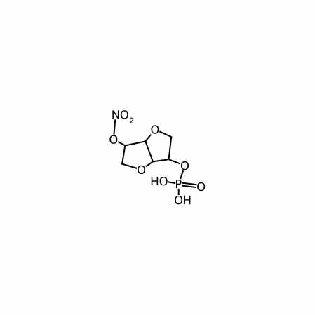 O=[N+]([O-])OC1COC2C(OP(=O)(O)O)COC12